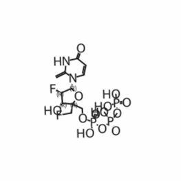 C=C1NC(=O)C=CN1[C@@H]1O[C@](CF)(COP(=O)(O)OP(=O)(O)OP(=O)(O)O)[C@@H](O)[C@H]1F